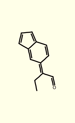 CC/C(C=O)=c1/ccc2c(c1)C=CC=2